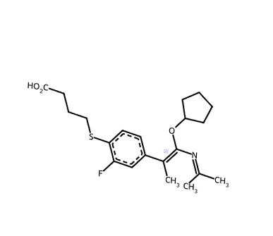 CC(C)=N/C(OC1CCCC1)=C(\C)c1ccc(SCCCC(=O)O)c(F)c1